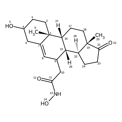 C[C@]12CCC(O)CC1=CC(CC(=O)NO)[C@@H]1[C@H]2CC[C@]2(C)C(=O)CC[C@@H]12